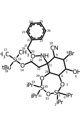 CC(C)[Si]1(C(C)C)OC2C(O)C(Br)C(C#N)C(CCO[Si](C)(C)C(C)(C)C)(NOCc3ccccc3)C2O[Si](C(C)C)(C(C)C)O1